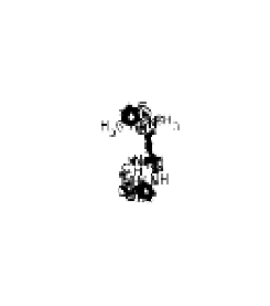 Cc1ccc(F)c(S(=O)(=O)N(C)CCC#Cc2cnc3nc2NCCCNS(=O)(=O)c2cccc(c2)N3)c1